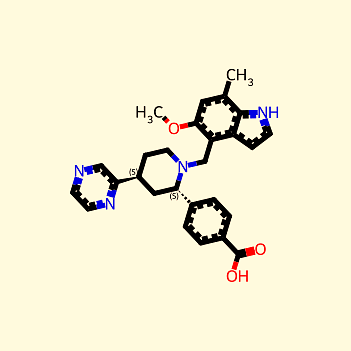 COc1cc(C)c2[nH]ccc2c1CN1CC[C@H](c2cnccn2)C[C@H]1c1ccc(C(=O)O)cc1